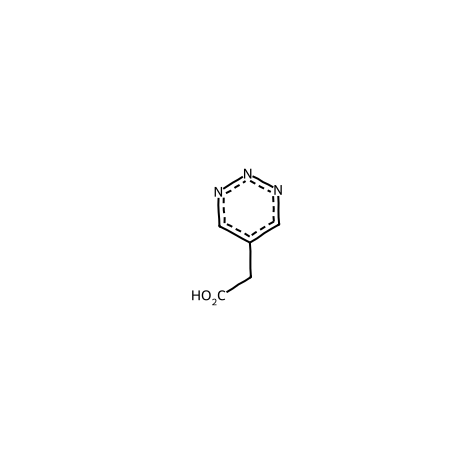 O=C(O)Cc1cnnnc1